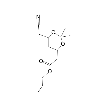 CCCOC(=O)CC1CC(CC#N)OC(C)(C)O1